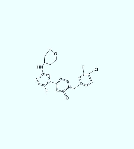 O=c1cc(-c2nc(NC3CCOCC3)ncc2F)ccn1Cc1ccc(Cl)c(F)c1